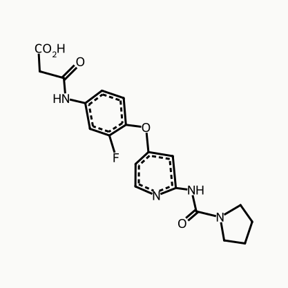 O=C(O)CC(=O)Nc1ccc(Oc2ccnc(NC(=O)N3CCCC3)c2)c(F)c1